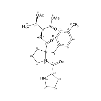 COC(=O)[C@@H](NC(=O)C1(Cc2ccc(C(F)(F)F)cc2)CCCN1C(=O)[C@@H]1CCCN1)[C@@H](C)OC(C)=O